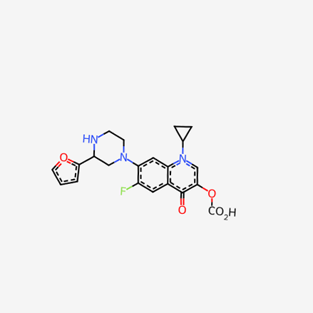 O=C(O)Oc1cn(C2CC2)c2cc(N3CCNC(c4ccco4)C3)c(F)cc2c1=O